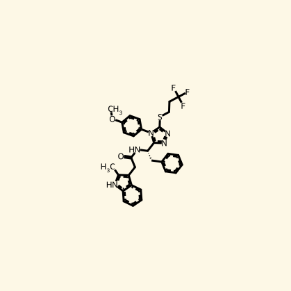 COc1ccc(-n2c(SCCC(F)(F)F)nnc2[C@H](Cc2ccccc2)NC(=O)Cc2c(C)[nH]c3ccccc23)cc1